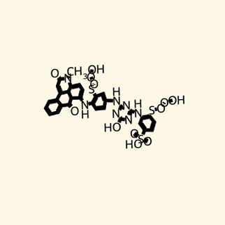 CN1C(=O)C=C2c3ccccc3C(=O)C3C(Nc4ccc(Nc5nc(O)nc(Nc6cc(S(=O)(=O)O)ccc6SOOO)n5)cc4SOOO)=CC=C1C23